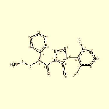 NCCN(C(=O)n1nnn(-c2c(F)cccc2F)c1=O)c1ccccc1